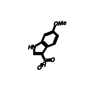 COc1ccc2c([SH](=O)=O)c[nH]c2c1